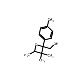 Cc1ccc(C2(CO)OC(C)C2(C)C)cc1